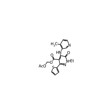 CCn1nc(-c2cccs2)c(C(=O)OCOC(C)=O)c(Nc2cnccc2C)c1=O